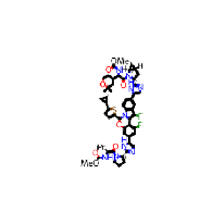 COC(=O)NC(C(=O)N1[C@@H]2C[C@@H]2C[C@H]1c1ncc(-c2ccc3c(c2)c(F)c2n3C(c3ccc(C4CC4)s3)Oc3cc(-c4cnc([C@@H]5CCCN5C(=O)[C@@H](NC(=O)OC)C(C)C)[nH]4)cc(F)c3-2)[nH]1)C1CCOC(C)(C)C1